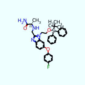 C[C@H](NCc1nc2ccc(Oc3ccc(F)cc3)cc2n1CCO[Si](c1ccccc1)(c1ccccc1)C(C)(C)C)C(N)=O